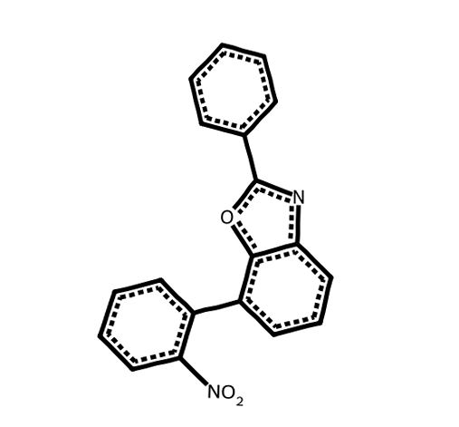 O=[N+]([O-])c1ccccc1-c1cccc2nc(-c3ccccc3)oc12